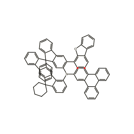 c1ccc2c(c1)-c1c(N(c3ccc4c5ccccc5c5ccccc5c4c3)c3cc4c(cc3-c3cccc5c3oc3ccccc35)-c3ccccc3C43c4ccccc4-c4ccccc43)cccc1C21CCCCC1